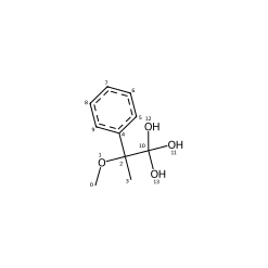 COC(C)(c1ccccc1)C(O)(O)O